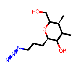 CC1C(O)[C@@H](CCCN=[N+]=[N-])OC(CO)[C@H]1C